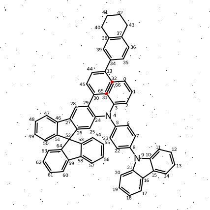 c1ccc(N(c2ccc(-n3c4ccccc4c4ccccc43)cc2)c2cc3c(cc2-c2ccc(-c4ccc5c(c4)CCCC5)cc2)-c2ccccc2C32c3ccccc3-c3ccccc32)cc1